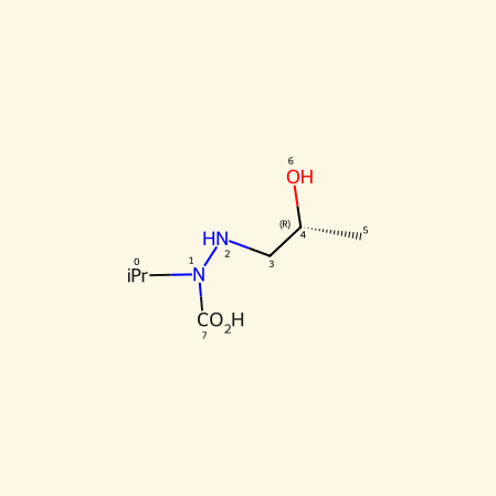 CC(C)N(NC[C@@H](C)O)C(=O)O